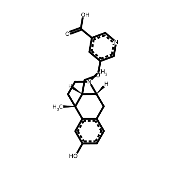 CN1CC[C@@]2(C)c3cc(O)ccc3C[C@@H]1[C@H]2COc1cncc(C(=O)O)c1